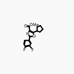 COC(=O)c1nc(-c2ccc(F)c(F)c2)oc1C1CCCC1